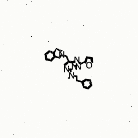 CN(CCc1ccccc1)c1ncc(CN2CCc3ccccc3C2)c2nc(-c3ccco3)nn12